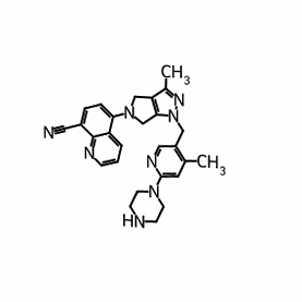 Cc1cc(N2CCNCC2)ncc1Cn1nc(C)c2c1CN(c1ccc(C#N)c3ncccc13)C2